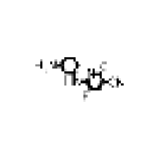 N#Cc1cc(F)c(N[C@@H]2CCC[C@H](N)C2)nc1Cl